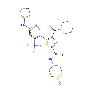 CC1CCCCN1C(=O)c1nc(C(=O)NC2CC[S+]([O-])CC2)sc1-c1cnc(NC2CCCC2)cc1C(F)(F)F